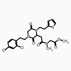 COC(=O)CN(C)C(=O)CC1C(=O)N(CCc2ccc(Cl)cc2Cl)CC(=O)N1CCc1cccs1